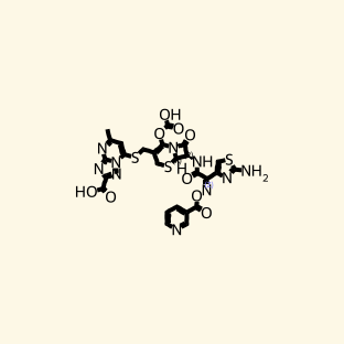 Cc1cc(SCC2=C(OC(=O)O)N3C(=O)[C@@H](NC(=O)/C(=N\OC(=O)c4cccnc4)c4csc(N)n4)[C@H]3SC2)n2nc(C(=O)O)nc2n1